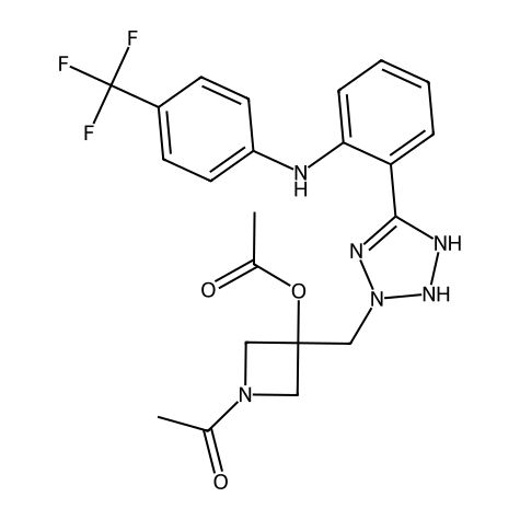 CC(=O)OC1(CN2N=C(c3ccccc3Nc3ccc(C(F)(F)F)cc3)NN2)CN(C(C)=O)C1